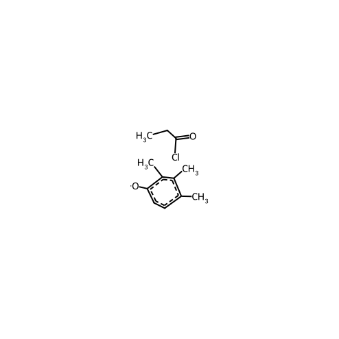 CCC(=O)Cl.Cc1ccc([O])c(C)c1C